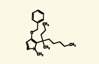 CCCCCC(C)(CCC)c1c(OCc2ccccc2)cnn1C